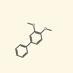 COc1ccc(-c2cc[c]cc2)cc1OC